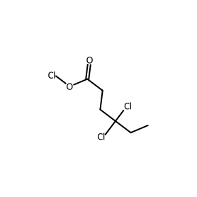 CCC(Cl)(Cl)CCC(=O)OCl